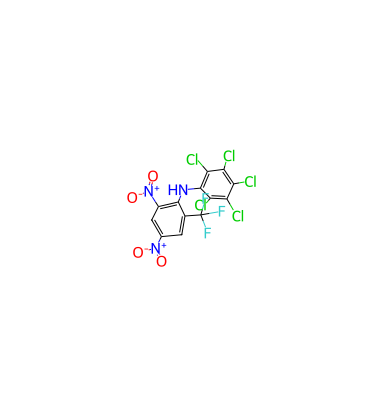 O=[N+]([O-])c1cc([N+](=O)[O-])c(Nc2c(Cl)c(Cl)c(Cl)c(Cl)c2Cl)c(C(F)(F)F)c1